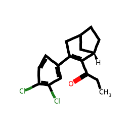 CCC(=O)C1=C(c2ccc(Cl)c(Cl)c2)CC2CC[C@H]1C2